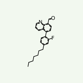 CCCCCCCc1ccc(-c2ccc(C=O)c3ncccc23)c(F)c1